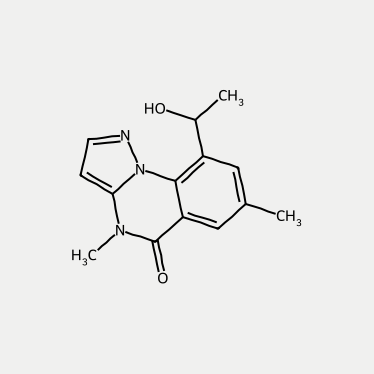 Cc1cc(C(C)O)c2c(c1)c(=O)n(C)c1ccnn21